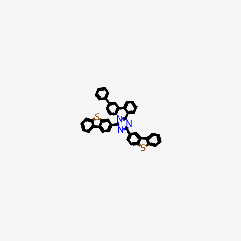 c1ccc(-c2cccc(-c3ccccc3-c3nc(-c4ccc5c(c4)sc4ccccc45)nc(-c4ccc5sc6ccccc6c5c4)n3)c2)cc1